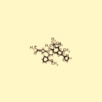 COc1ccccc1C(Cn1c(=O)n(C(C)(C)C)c(=O)c2c(C)c(-c3ncco3)sc21)OC1CN(C(C)=O)C1